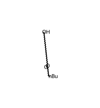 CCCC/C=C\CCCCCCCC(=O)OCCCCCCCCCCCCCCCCCCCCCCCCCCCCCCCO